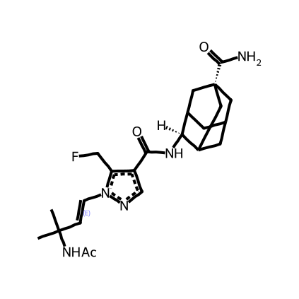 CC(=O)NC(C)(C)/C=C/n1ncc(C(=O)N[C@H]2C3CC4CC2C[C@](C(N)=O)(C4)C3)c1CF